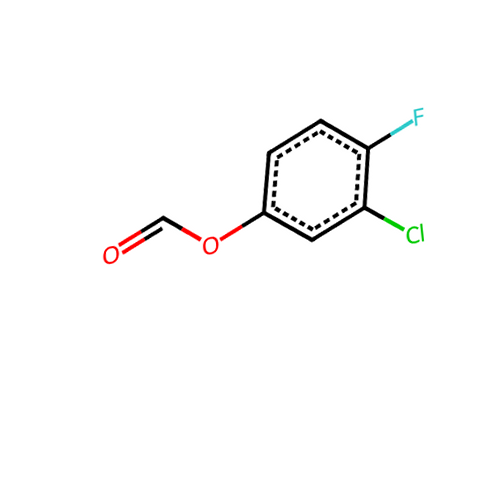 O=COc1ccc(F)c(Cl)c1